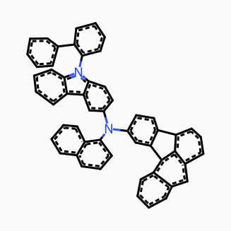 c1ccc(-c2ccccc2-n2c3ccccc3c3cc(N(c4ccc5c(c4)-c4c6ccccc6cc6cccc-5c46)c4cccc5ccccc45)ccc32)cc1